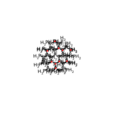 PPP(P(P)P)P(P(P(P)P)P(P)P)P(P(P(P)P)P(P)P)P(P(P(P(P)P)P(P)P)P(P(P)P)P(P)P)P(P(P(P(P)P)P(P)P)P(P(P)P)P(P)P)P(P(P(P)P)P(P)P)P(P(P)P)P(P)P